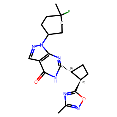 Cc1noc([C@@H]2CC[C@H]2c2nc3c(cnn3C3CCC(C)(F)CC3)c(=O)[nH]2)n1